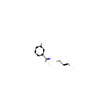 CC=CCON=C(C)c1cc[c]c(C)c1